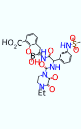 CCN1CCN(C(=O)NC(C(=O)N[C@H]2Cc3cccc(C(=O)O)c3OB2O)c2cccc(NS(C)(=O)=O)c2)C(=O)C1=O